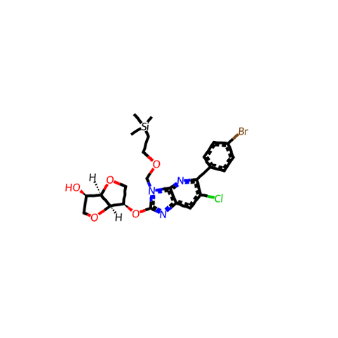 C[Si](C)(C)CCOCn1c(O[C@@H]2CO[C@H]3[C@@H]2OC[C@H]3O)nc2cc(Cl)c(-c3ccc(Br)cc3)nc21